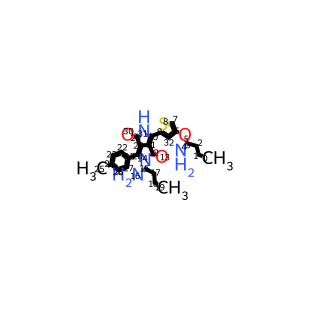 CCCC(N)Oc1csc(C2=C3C(=O)N(C(N)CCC)C(c4ccc(C)cc4)=C3C(=O)N2)c1